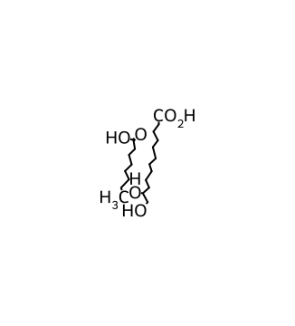 CCCCCCCC(=O)O.O=C(O)CCCCCCCCCC(O)CO